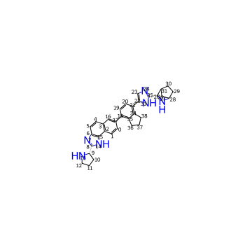 c1cc2c(ccc3nc([C@@H]4CCCN4)[nH]c32)cc1-c1ccc(-c2cnc([C@H]3NC4CCC3C4)[nH]2)c2c1CCC2